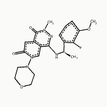 COc1cccc([C@@H](C)Nc2nn(C)c(=O)c3cc(=O)n(N4CCOCC4)cc23)c1F